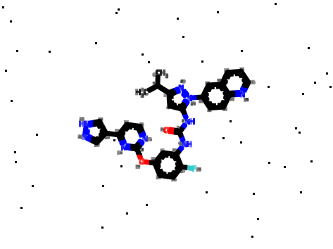 CC(C)c1cc(NC(=O)Nc2cc(Oc3nccc(-c4cn[nH]c4)n3)ccc2F)n(-c2ccc3ncccc3c2)n1